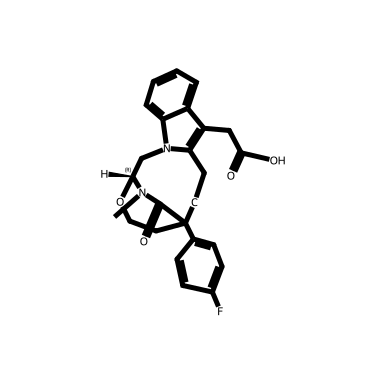 CN1C(=O)C2(c3ccc(F)cc3)CCO[C@@H]1Cn1c(c(CC(=O)O)c3ccccc31)CC2